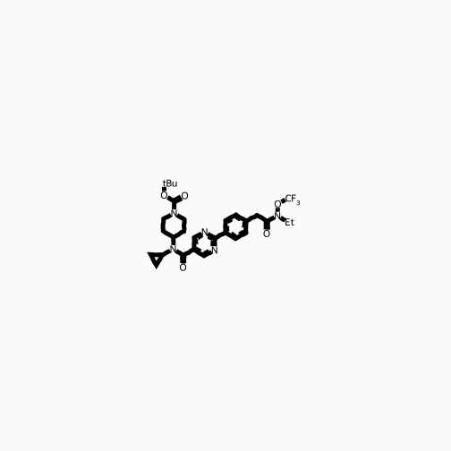 CCN(OC(F)(F)F)C(=O)Cc1ccc(-c2ncc(C(=O)N(C3CC3)C3CCN(C(=O)OC(C)(C)C)CC3)cn2)cc1